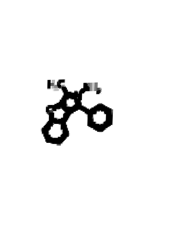 Cc1c2oc3ccccc3c2c(-c2ccccc2)n1N